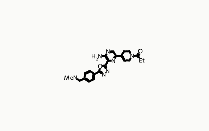 CCC(=O)N1CC=C(c2cnc(N)c(-c3nnc(-c4ccc(CNC)cc4)o3)n2)CC1